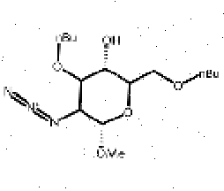 CCCCOCC1O[C@H](OC)C(N=[N+]=[N-])C(OCCCC)[C@@H]1O